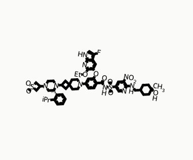 CCOc1nc2[nH]cc(F)c2cc1Oc1cc(N2CCC3(CC2)CC(N2CCN(C4CS(=O)(=O)C4)C[C@H]2c2ccccc2C(C)C)C3)ccc1C(=O)NS(=O)(=O)c1cnc(NCC2CCC(C)(O)CC2)c([N+](=O)[O-])c1